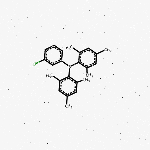 Cc1cc(C)c(B(c2cccc(Cl)c2)c2c(C)cc(C)cc2C)c(C)c1